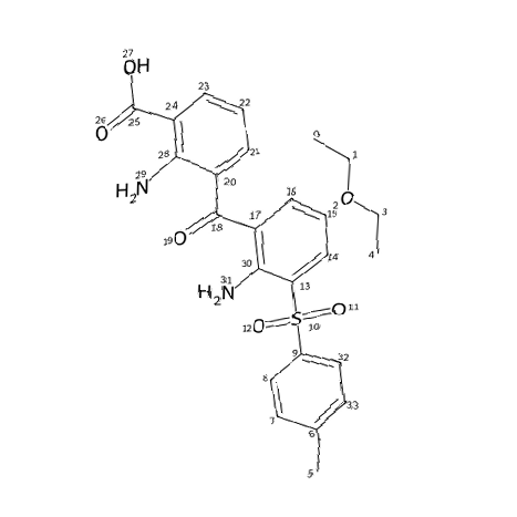 CCOCC.Cc1ccc(S(=O)(=O)c2cccc(C(=O)c3cccc(C(=O)O)c3N)c2N)cc1